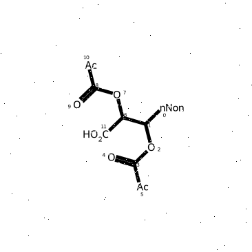 CCCCCCCCCC(OC(=O)C(C)=O)C(OC(=O)C(C)=O)C(=O)O